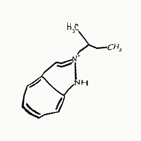 CC(C)[n+]1cc2ccccc2[nH]1